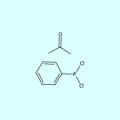 CC(C)=O.ClP(Cl)c1ccccc1